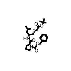 CC(C)CC(CSCC(=O)OC(C)(C)C)NC(=O)C1CCCN1C(=O)OCc1ccccc1